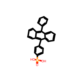 O=P(O)(O)c1ccc(-c2c3ccccc3c(-c3ccccc3)c3ccccc23)cc1